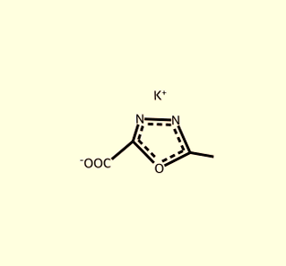 Cc1nnc(C(=O)[O-])o1.[K+]